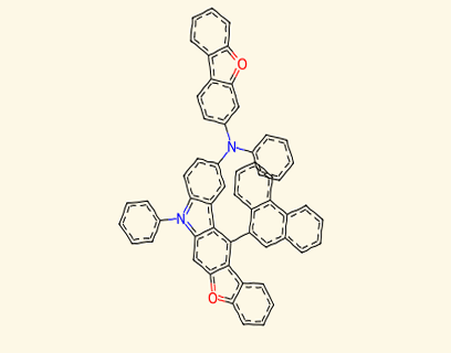 c1ccc(N(c2ccc3c(c2)oc2ccccc23)c2ccc3c(c2)c2c(-c4cc5ccccc5c5ccccc45)c4c(cc2n3-c2ccccc2)oc2ccccc24)cc1